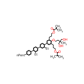 C=C(C)C(=O)OCCCc1cc(-c2ccc(-c3ccc(-c4ccc(CCCCC)cc4)c(CC)c3)cc2CC)cc(CCCOC(=O)C(=C)C)c1OCCC(C)(CO)CO